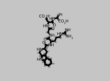 CC(C)C(NC(=O)C(CC(=O)O)NC(=O)CNC(=O)C(CCCNC(=N)N)NC(=O)C1Cc2c([nH]c3ccccc23)CN1)C(=O)O